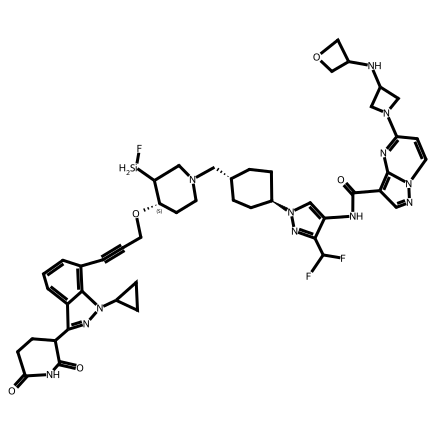 O=C1CCC(c2nn(C3CC3)c3c(C#CCO[C@H]4CCN(C[C@H]5CC[C@H](n6cc(NC(=O)c7cnn8ccc(N9CC(NC%10COC%10)C9)nc78)c(C(F)F)n6)CC5)CC4[SiH2]F)cccc23)C(=O)N1